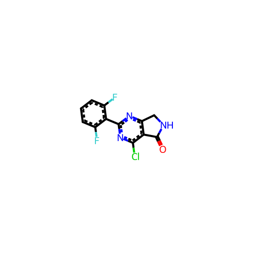 O=C1NCc2nc(-c3c(F)cccc3F)nc(Cl)c21